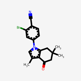 Cc1cn(-c2ccc(C#N)c(Br)c2)c2c1C(=O)CC(C)(C)C2